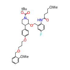 COCCCC(=O)Nc1ccc(F)cc1COC1CN(C(=O)OC(C)(C)C)CCC1c1ccc(OCCCOCc2ccccc2OC)cc1